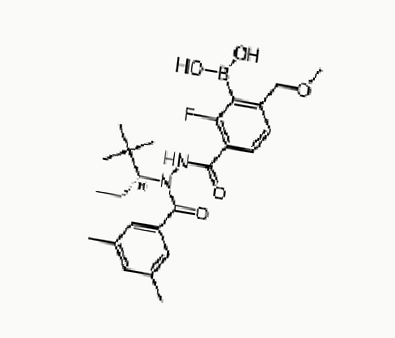 CC[C@@H](N(NC(=O)c1ccc(COC)c(B(O)O)c1F)C(=O)c1cc(C)cc(C)c1)C(C)(C)C